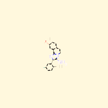 COc1ccc2ccn3c(N)c(-c4cc(F)ccc4C)nc3c2c1